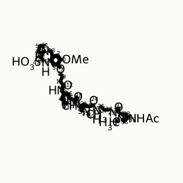 COc1cc2c(cc1OCCCC(=O)Nc1cc(C(=O)Nc3cc(C(=O)NCCCNC(=O)c4cc(NC(C)=O)cn4C)n(C)c3)n(C)c1)NC(S(=O)(=O)O)[C@@H]1CCCN1C2